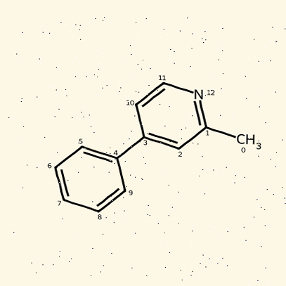 Cc1cc(-c2ccccc2)ccn1